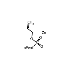 C=CCOS(=O)(=O)CCCCC.[Zn]